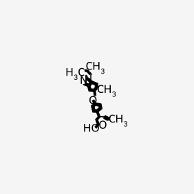 CC#C[C@@H](CC(=O)O)c1ccc(OCc2cc3cnn(CC(C)C)c3cc2C)cc1